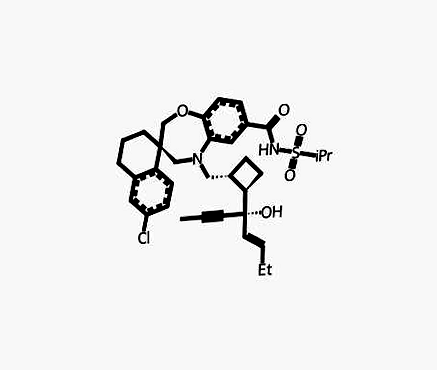 CC#C[C@](O)(/C=C/CC)[C@@H]1CC[C@H]1CN1C[C@@]2(CCCc3cc(Cl)ccc32)COc2ccc(C(=O)NS(=O)(=O)C(C)C)cc21